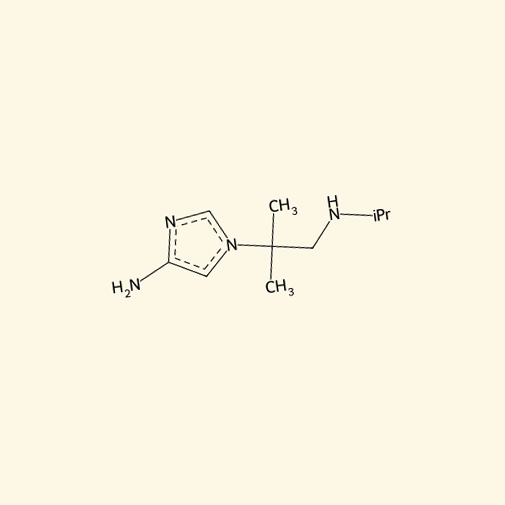 CC(C)NCC(C)(C)n1cnc(N)c1